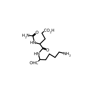 NCCCCC(C=O)NC(=O)C(CCC(=O)O)NC(N)=O